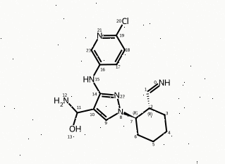 N=C[C@@H]1CCCC[C@H]1n1cc(C(N)O)c(Nc2ccc(Cl)nc2)n1